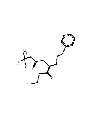 CCOC(=O)C(CCOc1ccccc1)NC(=O)OC(C)(C)C